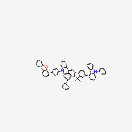 CC1(C)c2ccc(-c3ccccc3N(c3ccc(-c4cccc5c4oc4ccccc45)cc3)c3cccc(-c4ccccc4)c3)cc2-c2ccc(-c3cccc4c3c3ccccc3n4-c3ccccc3)cc21